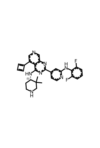 CC1(C)CNCC[C@@H]1Nc1nc(-c2ccnc(Nc3c(F)cccc3F)c2)nc2cncc(C3=CC=C3)c12